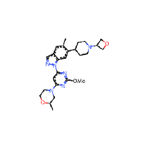 COc1nc(N2CCOC(C)C2)cc(-n2ncc3cc(C)c(C4CCN(C5COC5)CC4)cc32)n1